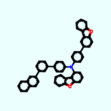 c1cc(-c2ccc(N(c3ccc(-c4ccc5oc6ccccc6c5c4)cc3)c3cccc4oc5ccccc5c34)cc2)cc(-c2ccc3ccccc3c2)c1